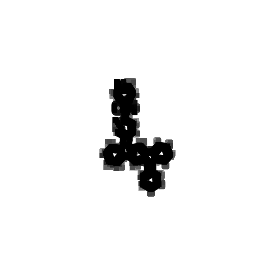 c1ccc(-n2c3ccccc3c3cc4c(cc32)c2ccccc2n4-c2ccc(-c3nc4ccncc4o3)nc2)cc1